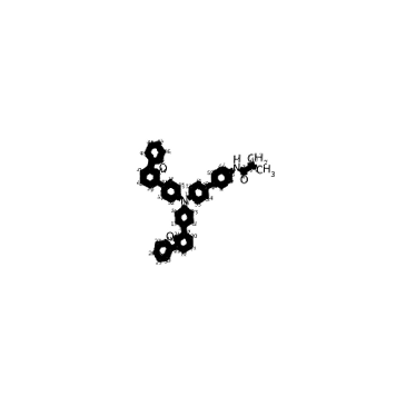 C=C(C)C(=O)Nc1ccc(-c2ccc(N(c3ccc(-c4cccc5c4oc4ccccc45)cc3)c3ccc(-c4cccc5c4oc4ccccc45)cc3)cc2)cc1